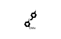 COc1cccc(OCc2ccc(I)cc2)c1